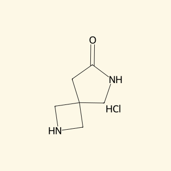 Cl.O=C1CC2(CNC2)CN1